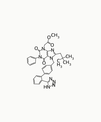 COC(=O)Cn1c(=O)n(-c2ccccc2)c(=O)c2c1nc(CC(C)(C)C)n2Cc1ccc(-c2ccccc2-c2nnn[nH]2)cc1